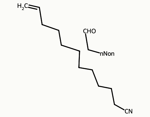 C=CCCCCCCCCCC#N.CCCCCCCCCCC=O